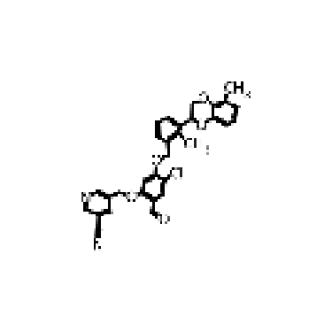 Cc1cccc2c1OCC(c1cccc(COc3cc(OCc4cncc(C#N)c4)c(C=O)cc3Cl)c1C)O2